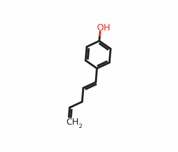 C=CCC=Cc1ccc(O)cc1